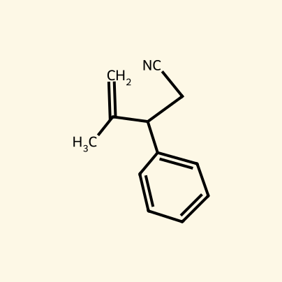 C=C(C)C(CC#N)c1ccccc1